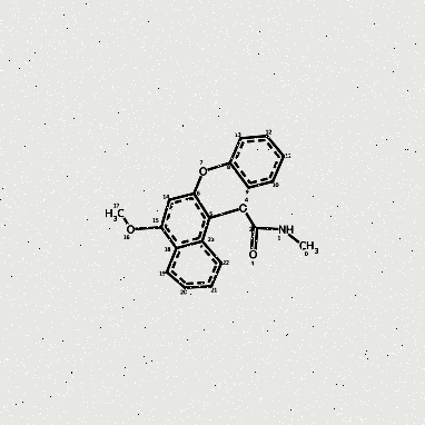 CNC(=O)Oc1c(Oc2ccccc2)cc(OC)c2ccccc12